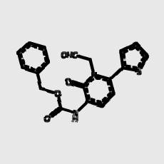 O=CCn1c(-c2cccs2)ccc(NC(=O)OCc2ccccc2)c1=O